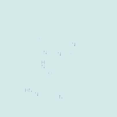 O=C(CN1CCC(CN2CCOCC2)(C(=O)Nc2ccc3[nH]nc(-c4ccncc4)c3c2)C1)N1CC=C(C2=CCC=C2)CC1